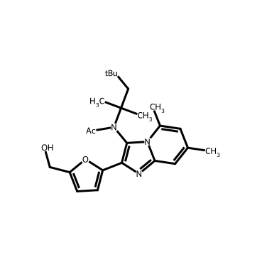 CC(=O)N(c1c(-c2ccc(CO)o2)nc2cc(C)cc(C)n12)C(C)(C)CC(C)(C)C